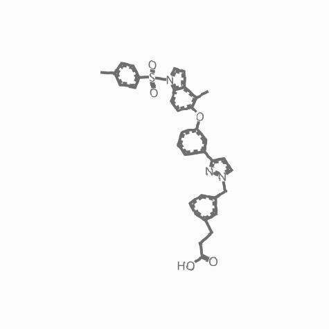 Cc1ccc(S(=O)(=O)n2ccc3c(C)c(Oc4cccc(-c5ccn(Cc6cccc(CCC(=O)O)c6)n5)c4)ccc32)cc1